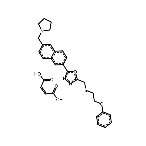 O=C(O)/C=C\C(=O)O.c1ccc(OCCSCc2nnc(-c3ccc4cc(CN5CCCC5)ccc4c3)o2)cc1